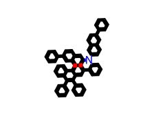 c1ccc(-c2ccc3cc(N(c4ccc5cc(-c6ccccc6)ccc5c4)c4ccccc4-c4ccc5c(c4)c(-c4ccccc4)c(-c4ccccc4)c4ccccc45)ccc3c2)cc1